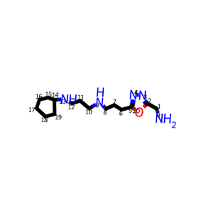 NCc1nnc(CCCNCCCNC2CCCCC2)o1